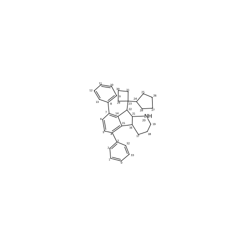 c1ccc(-c2ccc(-c3ccccc3)c3c2C2CCCNC2C3C2(C3CCCC3)CCC2)cc1